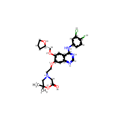 CC1(C)CN(CCOc2cc3ncnc(Nc4ccc(F)c(Cl)c4)c3cc2OC[C@@H]2CCCO2)CC(=O)O1